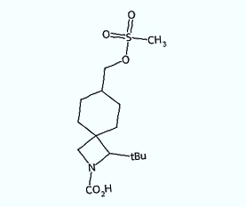 CC(C)(C)C1N(C(=O)O)CC12CCC(COS(C)(=O)=O)CC2